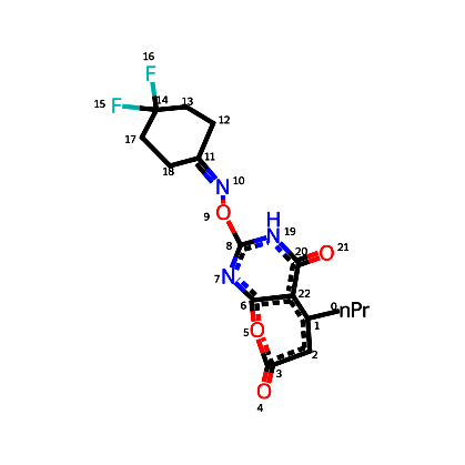 CCCc1cc(=O)oc2nc(ON=C3CCC(F)(F)CC3)[nH]c(=O)c12